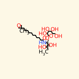 CC[C@@H](O)[C@@H](O)[C@H](COC1OC(CO)C(O)C(O)C1O)NC(=O)CCCCCCCCCCC1(C)COC1